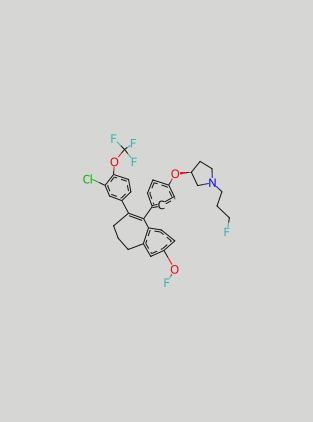 FCCCN1CC[C@H](Oc2ccc(C3=C(c4ccc(OC(F)(F)F)c(Cl)c4)CCCc4cc(OF)ccc43)cc2)C1